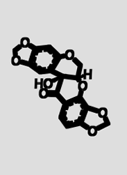 O=C1c2ccc3c(c2O[C@@H]2COc4cc5c(cc4[C@@]12O)OCO5)OCO3